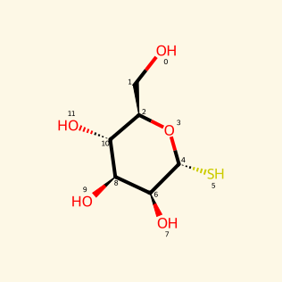 OC[C@H]1O[C@H](S)[C@@H](O)[C@@H](O)[C@@H]1O